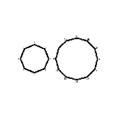 C1CCCCCCC1.C1CCCCCCCCCCC1